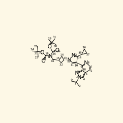 CC(C)n1cc2ccnc(-c3cn([C@H]4C[C@H](CN(C(=O)OC(C)(C)C)C(=O)OC(C)(C)C)C4)nc3C3CC3)c2n1